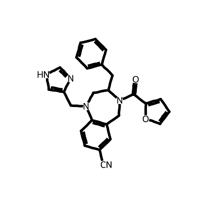 N#Cc1ccc2c(c1)CN(C(=O)c1ccco1)C(Cc1ccccc1)CN2Cc1c[nH]cn1